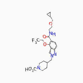 O=C(NCCOCC1CC1)c1ccc2nn(CC3CCN(C(=O)O)CC3)cc2c1OCC(F)(F)F